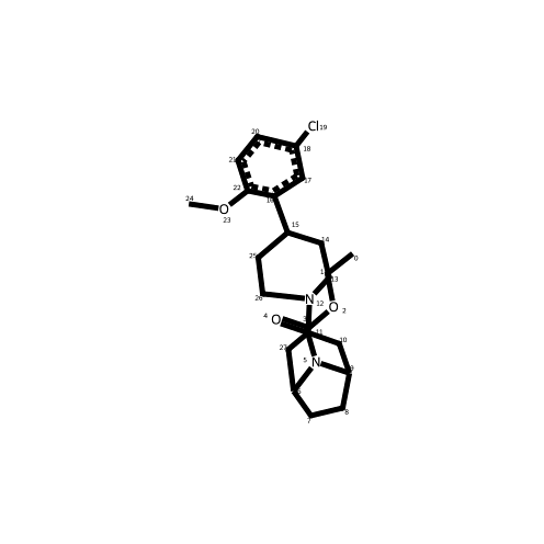 CCOC(=O)N1C2CCC1CC(N1CCC(c3cc(Cl)ccc3OC)CC1)C2